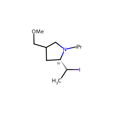 COCC1C[C@@H](C(C)I)N(C(C)C)C1